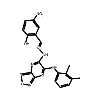 Cc1cccc(Nc2nc3nonc3nc2NN=Cc2cc([N+](=O)[O-])ccc2O)c1C